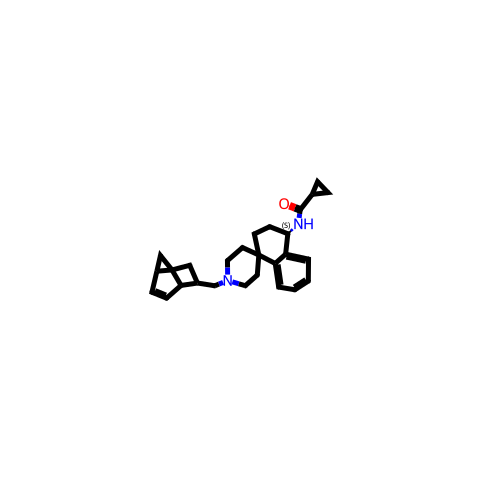 O=C(N[C@H]1CCC2(CCN(CC3CC45CC4C=CC35)CC2)c2ccccc21)C1CC1